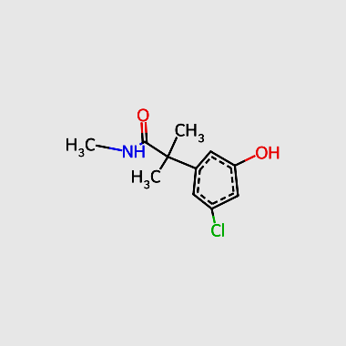 CNC(=O)C(C)(C)c1cc(O)cc(Cl)c1